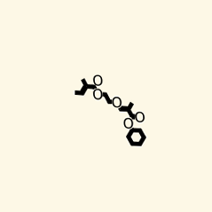 CC=C(C)C(=O)OCCOC=C(C)C(=O)OC1CCCCC1